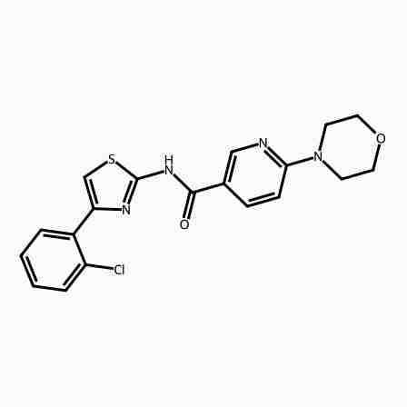 O=C(Nc1nc(-c2ccccc2Cl)cs1)c1ccc(N2CCOCC2)nc1